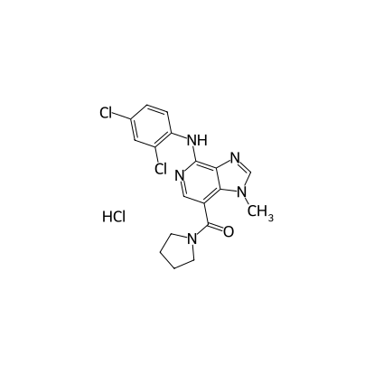 Cl.Cn1cnc2c(Nc3ccc(Cl)cc3Cl)ncc(C(=O)N3CCCC3)c21